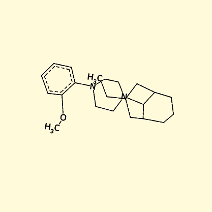 CCC1CC2CCCC(C1)C2N1CCN(c2ccccc2OC)CC1